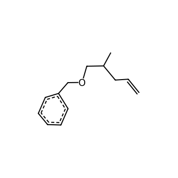 C=CCC(C)COCc1ccccc1